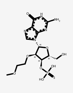 COCCO[C@@H]1[C@H](OP(O)(O)=S)[C@@H](CO)O[C@H]1n1cnc2c(=O)[nH]c(N)nc21